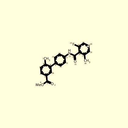 COC(=O)c1ccc(C)c(-c2ccc(NC(=O)c3c(C)cncc3F)cc2)c1